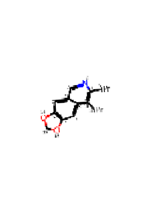 CC(C)c1ncc2cc3c(cc2c1C(C)C)OCO3